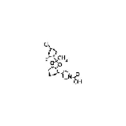 CC1(c2ccc(Cl)cc2F)Oc2cccc(C3=CCN(C(=O)O)CC3)c2O1